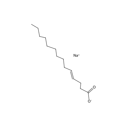 CCCCCCCCCC=CCCC(=O)[O-].[Na+]